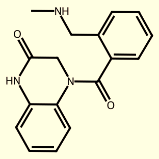 CNCc1ccccc1C(=O)N1CC(=O)Nc2ccccc21